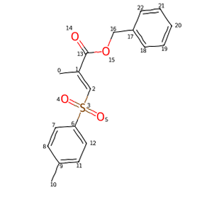 C/C(=C\S(=O)(=O)c1ccc(C)cc1)C(=O)OCc1ccccc1